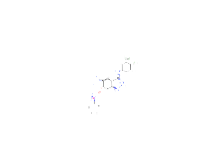 CN1CC2CCC(C1)C2CCOc1cc2ncnc(Nc3ccc(F)c(Cl)c3)c2cc1N